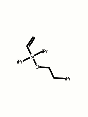 C=C[Si](OCCC(C)C)(C(C)C)C(C)C